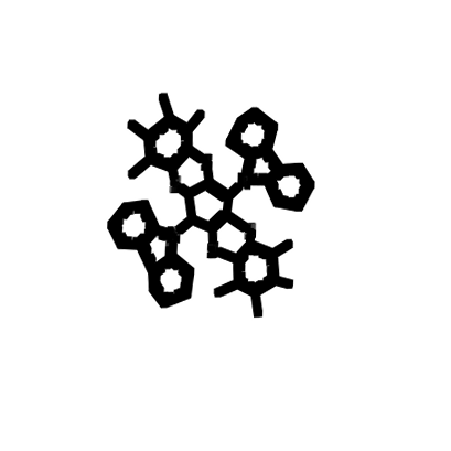 Cc1c(C)c(C)c2c(c1C)SC1=C(S2)C(n2c3ccccc3c3ccccc32)C2Sc3c(C)c(C)c(C)c(C)c3SC2=C1n1c2ccccc2c2ccccc21